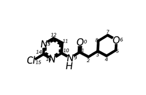 O=C(CC1CCOCC1)Nc1ccnc(Cl)n1